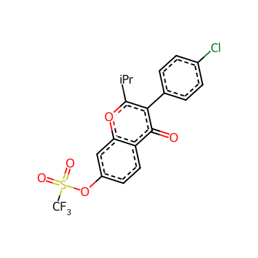 CC(C)c1oc2cc(OS(=O)(=O)C(F)(F)F)ccc2c(=O)c1-c1ccc(Cl)cc1